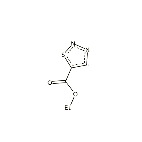 CCOC(=O)c1[c]nns1